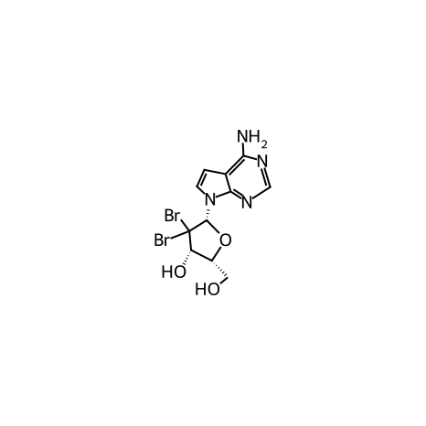 Nc1ncnc2c1ccn2[C@@H]1O[C@H](CO)[C@H](O)C1(Br)Br